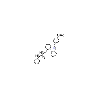 CC(=O)Oc1ccc(/C=C/c2ccccc2-c2ccccc2CNC(=O)Nc2ccccc2)cc1